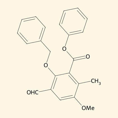 COc1cc(C=O)c(OCc2ccccc2)c(C(=O)Oc2ccccc2)c1C